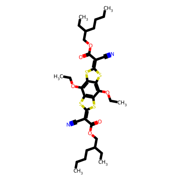 CCCCC(CC)COC(=O)C(C#N)=C1Sc2c(OCC)c3c(c(OCC)c2S1)SC(=C(C#N)C(=O)OCC(CC)CCCC)S3